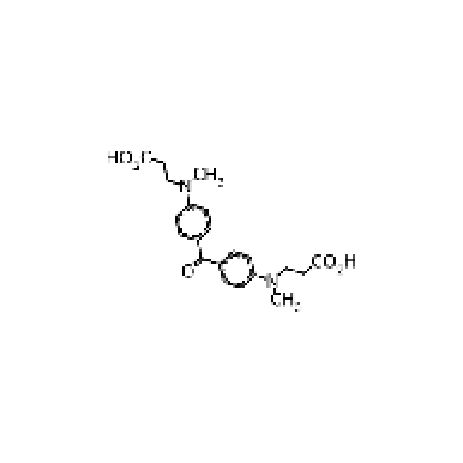 CN(CCC(=O)O)c1ccc(C(=O)c2ccc(N(C)CCC(=O)O)cc2)cc1